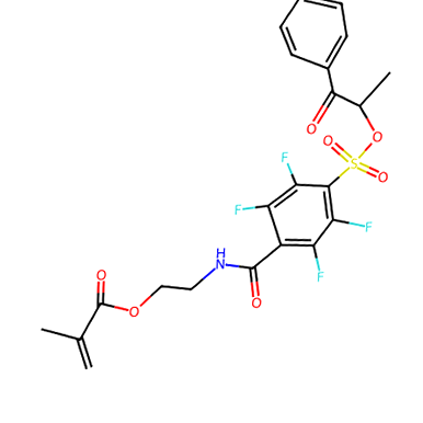 C=C(C)C(=O)OCCNC(=O)c1c(F)c(F)c(S(=O)(=O)OC(C)C(=O)c2ccccc2)c(F)c1F